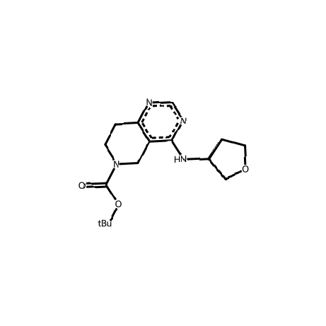 CC(C)(C)OC(=O)N1CCc2ncnc(NC3CCOC3)c2C1